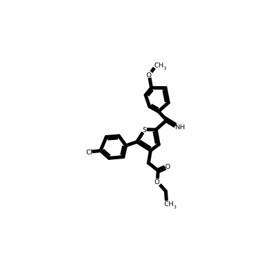 CCOC(=O)Cc1cc(C(=N)c2ccc(OC)cc2)sc1-c1ccc(Cl)cc1